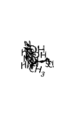 CNc1nc(C#Cc2ccc(Cl)s2)nc2c1ncn2[C@H]1[C@H](O)[C@H](O)[C@]2(C#N)C[C@H]12